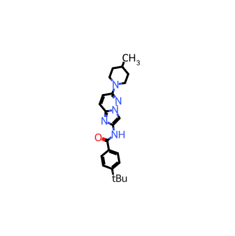 CC1CCN(c2ccc3nc(NC(=O)c4ccc(C(C)(C)C)cc4)cn3n2)CC1